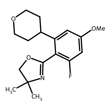 COc1cc(F)c(C2=NC(C)(C)CO2)c(C2CCOCC2)c1